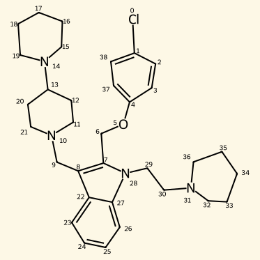 Clc1ccc(OCc2c(CN3CCC(N4CCCCC4)CC3)c3ccccc3n2CCN2CCCCC2)cc1